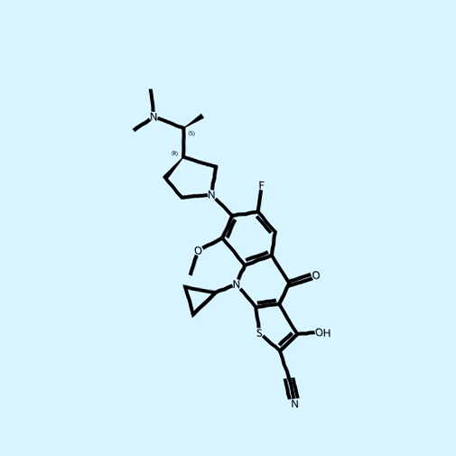 COc1c(N2CC[C@@H]([C@H](C)N(C)C)C2)c(F)cc2c(=O)c3c(O)c(C#N)sc3n(C3CC3)c12